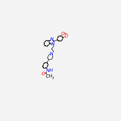 CC(=O)Nc1cccc(C2CCN(CCCn3c(-c4ccc5c(c4)OCO5)nc4ccccc43)CC2)c1